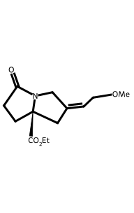 CCOC(=O)[C@@]12CCC(=O)N1C/C(=C\COC)C2